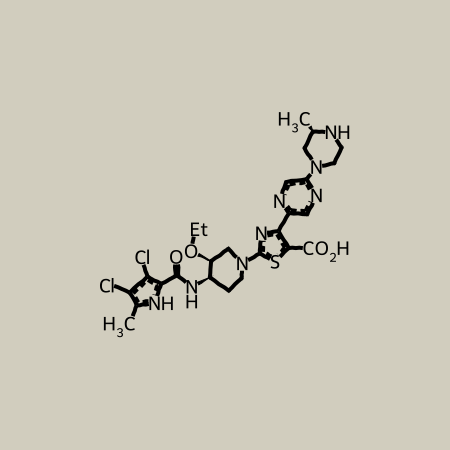 CCO[C@H]1CN(c2nc(-c3cnc(N4CCN[C@H](C)C4)cn3)c(C(=O)O)s2)CC[C@H]1NC(=O)c1[nH]c(C)c(Cl)c1Cl